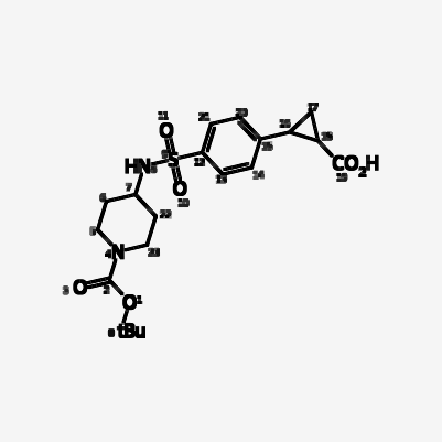 CC(C)(C)OC(=O)N1CCC(NS(=O)(=O)c2ccc(C3CC3C(=O)O)cc2)CC1